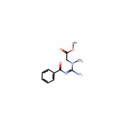 CCCOC(=O)CN(C)C(N)=NC(=O)c1ccccc1